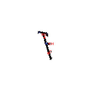 C/C=C\CCC(CC/C=C\CC)OC(=O)CCCCCCCN(CCO)CCCCCCCC(=O)OCCCCCC